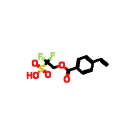 C=Cc1ccc(C(=O)OCC(F)(F)S(=O)(=O)O)cc1